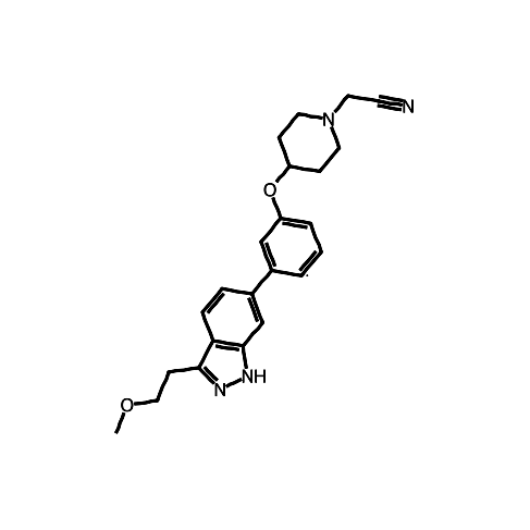 COCCc1n[nH]c2cc(-c3[c]ccc(OC4CCN(CC#N)CC4)c3)ccc12